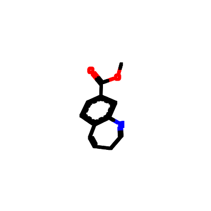 COC(=O)c1ccc2c(c1)N=CCC=C2